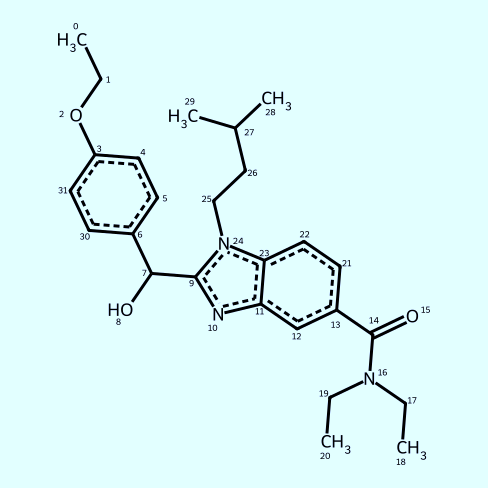 CCOc1ccc(C(O)c2nc3cc(C(=O)N(CC)CC)ccc3n2CCC(C)C)cc1